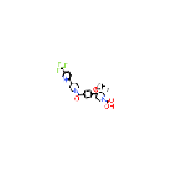 COC1(c2ccc(C(=O)N3CCC(c4ccc(C(F)(F)F)cn4)CC3)cc2)CCN(C(=O)O)CC1